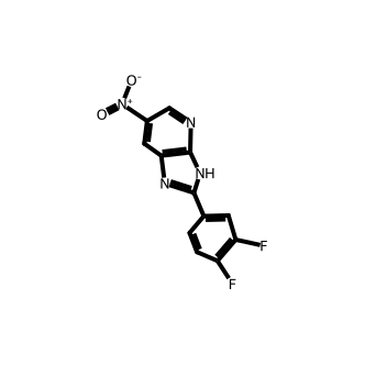 O=[N+]([O-])c1cnc2[nH]c(-c3ccc(F)c(F)c3)nc2c1